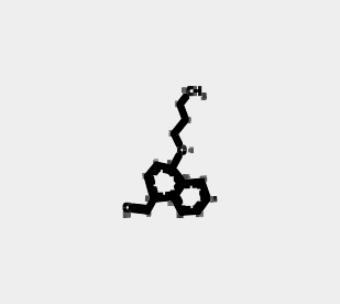 CCCCOc1ccc(C=O)c2ccccc12